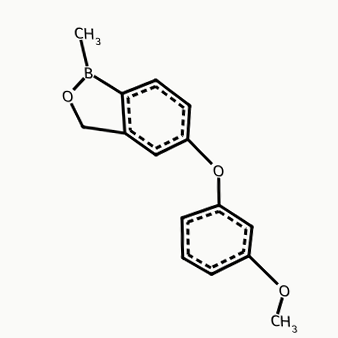 COc1cccc(Oc2ccc3c(c2)COB3C)c1